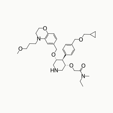 CCN(C)C(=O)CO[C@@H]1CNC[C@H](OCc2ccc3c(c2)N(CCCOC)CCO3)[C@H]1c1ccc(COCC2CC2)cc1